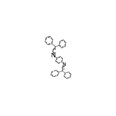 C(=Nc1ccc(N=C=C(c2ccccc2)c2ccccc2)cc1)=C(c1ccccc1)c1ccccc1